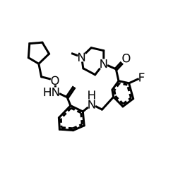 C=C(NOCC1CCCC1)c1ccccc1NCc1ccc(F)c(C(=O)N2CCN(C)CC2)c1